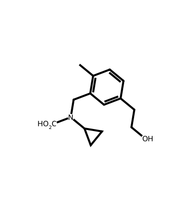 Cc1ccc(CCO)cc1CN(C(=O)O)C1CC1